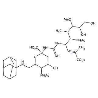 COC(C(O)CO)C(C)C(NC(C)=O)C(/C=C(\C)C(=O)O)NC(=N)NC1(C(=O)O)CC(O)C(NC(C)=O)C(CNC23CC4CC(CC(C4)C2)C3)O1